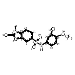 Cn1c(=O)oc2cc(S(=O)(=O)Nc3ccc(OC(F)(F)F)c(Cl)c3)ccc21